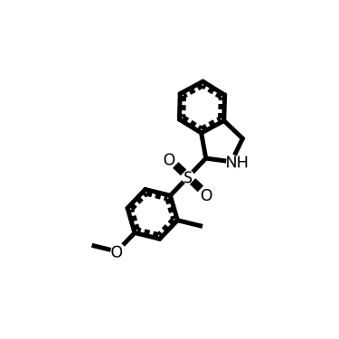 COc1ccc(S(=O)(=O)C2NCc3ccccc32)c(C)c1